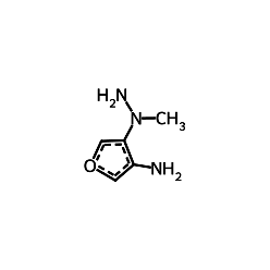 CN(N)c1cocc1N